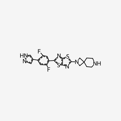 Fc1cc(-c2nc3sc(N4CC5(CCNCC5)C4)nc3s2)c(F)cc1-c1cn[nH]c1